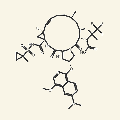 COc1cnc(O[C@@H]2C[C@H]3C(=O)N[C@]4(C(=O)NS(=O)(=O)C5(C)CC5)C[C@H]4/C=C\CC[C@@H](C)C[C@@H](C)[C@H](N(C(=O)O)C(C)(C)C(F)(F)F)C(=O)N3C2)c2ccc(N(C)C)cc12